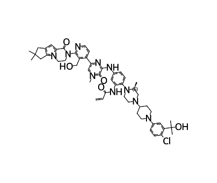 C=CC(=O)Nc1cc(Nc2nc(-c3ccnc(N4CCn5c(cc6c5CC(C)(C)C6)C4=O)c3CO)cn(C)c2=O)ccc1N1CCN(C2CCN(c3ccc(Cl)c(C(C)(C)O)c3)CC2)C[C@@H]1C